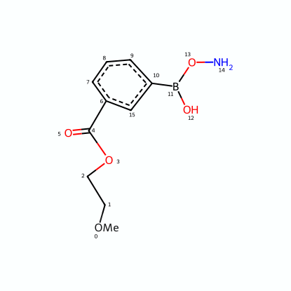 COCCOC(=O)c1cccc(B(O)ON)c1